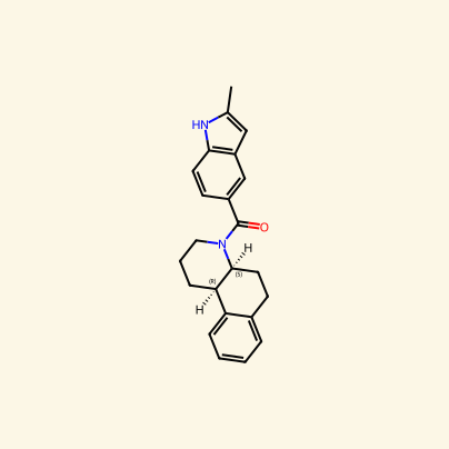 Cc1cc2cc(C(=O)N3CCC[C@@H]4c5ccccc5CC[C@@H]43)ccc2[nH]1